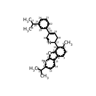 Cc1ccc2c(oc3nc(C(C)C)ccc32)c1C1CC=C(c2cccc(C(C)C)c2)C=N1